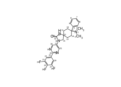 CN(C)C1(c2ccccc2)CCC2(CC1)CN(c1cnc(-c3cc(F)c(F)c(F)c3)nc1)C(=O)N2